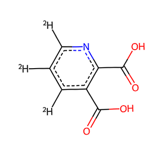 [2H]c1nc(C(=O)O)c(C(=O)O)c([2H])c1[2H]